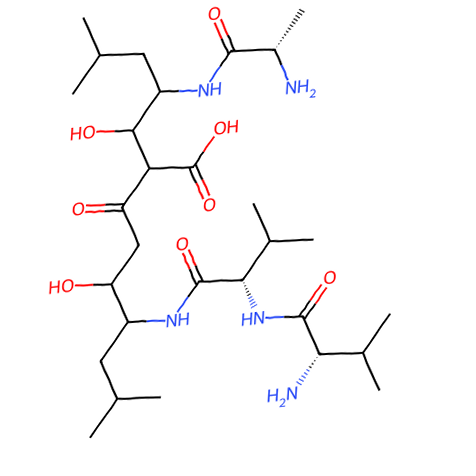 CC(C)CC(NC(=O)[C@@H](NC(=O)[C@@H](N)C(C)C)C(C)C)C(O)CC(=O)C(C(=O)O)C(O)C(CC(C)C)NC(=O)[C@H](C)N